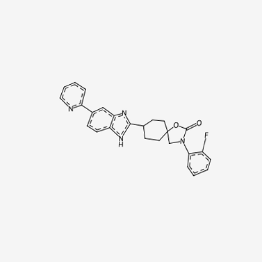 O=C1OC2(CCC(c3nc4cc(-c5ccccn5)ccc4[nH]3)CC2)CN1c1ccccc1F